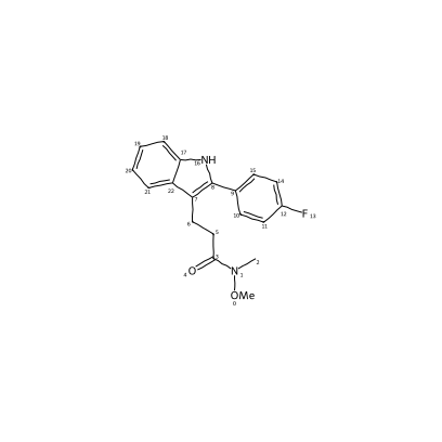 CON(C)C(=O)CCc1c(-c2ccc(F)cc2)[nH]c2ccccc12